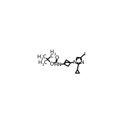 CC(C)(C)OC(=O)NC12CC(n3cc(I)nc3C3CC3)(C1)C2